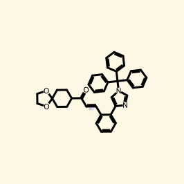 O=C(/C=C/c1ccccc1-c1cn(C(c2ccccc2)(c2ccccc2)c2ccccc2)cn1)C1CCC2(CC1)OCCO2